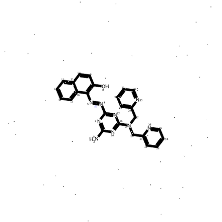 Nc1nc(/N=N/c2c(O)ccc3ccccc23)nc(N(Cc2ccccn2)Cc2ccccn2)n1